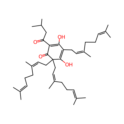 CC(C)=CCCC(C)=CCC1=C(O)C(CC=C(C)CCC=C(C)C)(CC=C(C)CCC=C(C)C)C(=O)C(C(=O)CC(C)C)=C1O